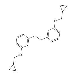 [CH](Cc1cccc(OCC2CC2)c1)c1cccc(OCC2CC2)c1